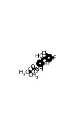 CC(C)(C)OC(=O)Nc1ccc(C(O)c2ccc(F)cc2Cl)c(Br)c1